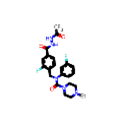 CCN1CCN(C(=O)N(Cc2ccc(C(=O)NNC(=O)C(F)(F)F)cc2F)c2cccc(F)c2)CC1